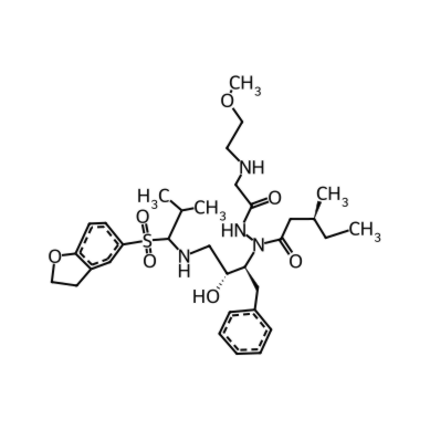 CC[C@H](C)CC(=O)N(NC(=O)CNCCOC)[C@@H](Cc1ccccc1)[C@H](O)CNC(C(C)C)S(=O)(=O)c1ccc2c(c1)CCO2